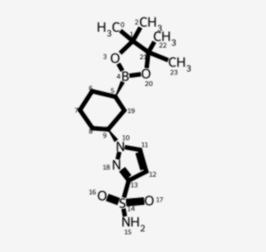 CC1(C)OB([C@@H]2CCC[C@H](n3ccc(S(N)(=O)=O)n3)C2)OC1(C)C